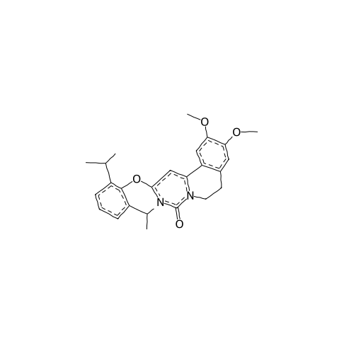 COc1cc2c(cc1OC)-c1cc(Oc3c(C(C)C)cccc3C(C)C)nc(=O)n1CC2